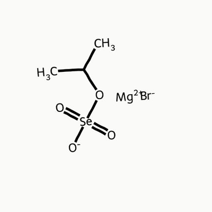 CC(C)O[Se](=O)(=O)[O-].[Br-].[Mg+2]